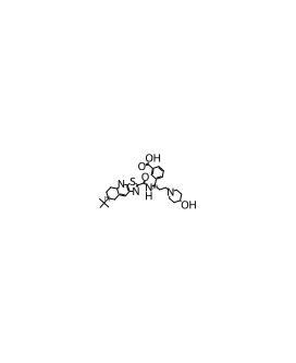 CC(C)(C)[C@H]1CCc2nc3sc(C(=O)N[C@H](CCN4CCC(O)CC4)c4cccc(C(=O)O)c4)nc3cc2C1